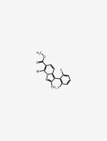 COC(=O)c1ccc2c(-c3c(F)cccc3F)c(C)nn2c1Br